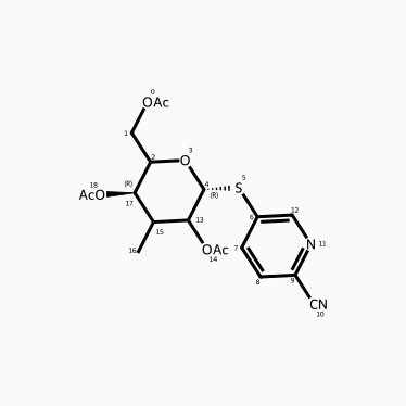 CC(=O)OCC1O[C@H](Sc2ccc(C#N)nc2)C(OC(C)=O)C(C)[C@H]1OC(C)=O